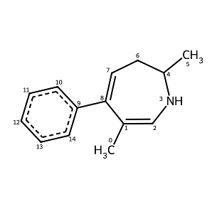 CC1=CNC(C)CC=C1c1ccccc1